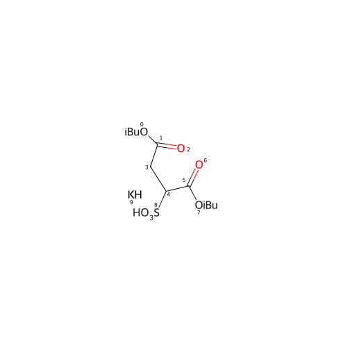 CC(C)COC(=O)CC(C(=O)OCC(C)C)S(=O)(=O)O.[KH]